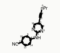 CCCC#Cc1cnc(Nc2ccc(C#N)cc2)nc1